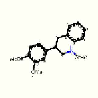 COc1ccc(C(CNC=O)Cc2ccccc2)cc1OC